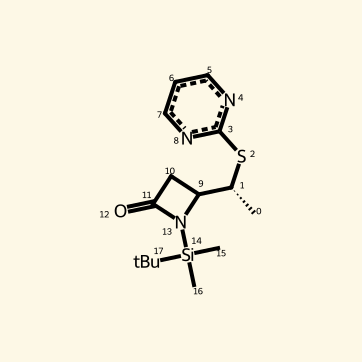 C[C@@H](Sc1ncccn1)C1CC(=O)N1[Si](C)(C)C(C)(C)C